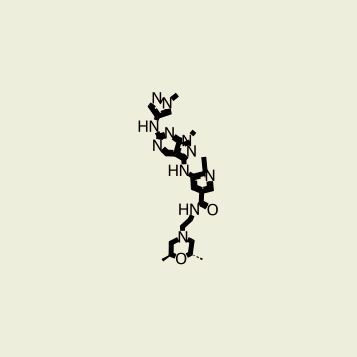 Cc1ncc(C(=O)NCCN2C[C@H](C)O[C@@H](C)C2)cc1Nc1nn(C)c2nc(Nc3cnn(C)c3)ncc12